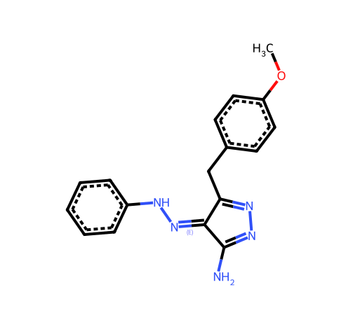 COc1ccc(CC2=NN=C(N)/C2=N/Nc2ccccc2)cc1